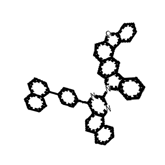 c1ccc2c(-c3ccc(-c4nc(-n5c6ccccc6c6cc7c(ccc8oc9ccccc9c87)cc65)nc5c4ccc4ccccc45)cc3)cccc2c1